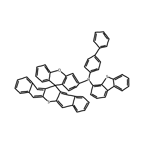 c1ccc(-c2ccc(N(c3ccc4c(c3)Oc3ccccc3C43c4cc5ccccc5cc4Sc4cc5ccccc5cc43)c3cccc4c3sc3ccccc34)cc2)cc1